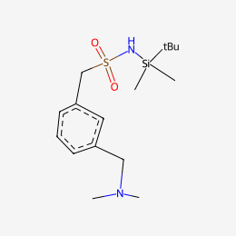 CN(C)Cc1cccc(CS(=O)(=O)N[Si](C)(C)C(C)(C)C)c1